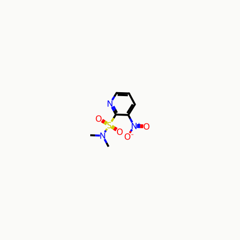 CN(C)S(=O)(=O)c1ncccc1[N+](=O)[O-]